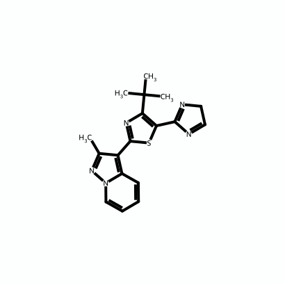 Cc1nn2ccccc2c1-c1nc(C(C)(C)C)c(C2=NCC=N2)s1